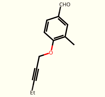 CCC#CCOc1ccc(C=O)cc1C